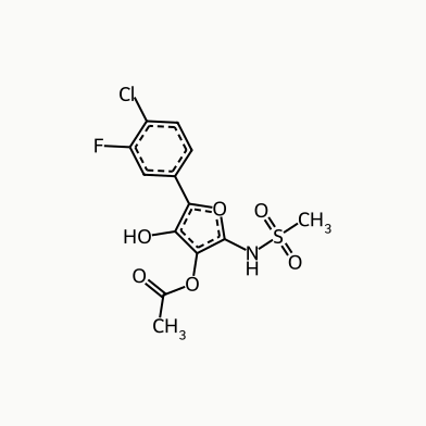 CC(=O)Oc1c(NS(C)(=O)=O)oc(-c2ccc(Cl)c(F)c2)c1O